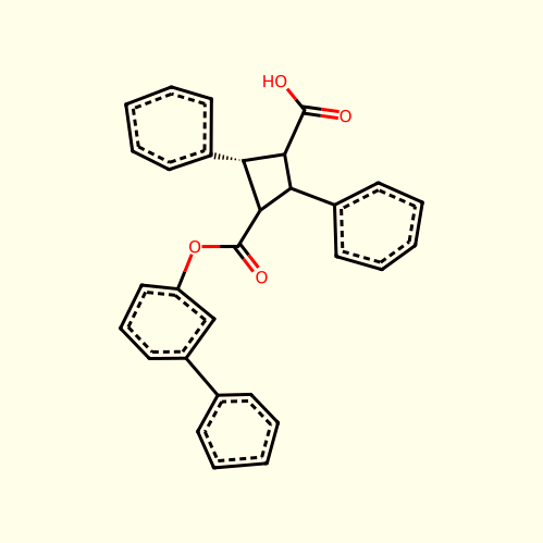 O=C(O)C1C(c2ccccc2)C(C(=O)Oc2cccc(-c3ccccc3)c2)[C@@H]1c1ccccc1